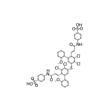 COc1ccccc1-c1cc(Sc2cc(-c3ccccc3OC)c(/C=C/C(=O)Nc3ccc(S(=O)(=O)O)cc3)c(Cl)c2Cl)c(Cl)c(Cl)c1/C=C/C(=O)Nc1ccc(S(=O)(=O)O)cc1